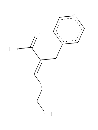 CCO/C=C(\Cc1ccncc1)C(=O)O